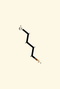 C[CH]CCCC[S]